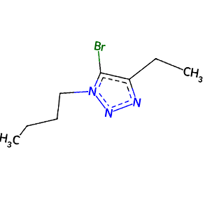 CCCCn1nnc(CC)c1Br